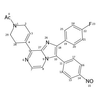 CC(=O)N1CC=C(c2nccn3c(-c4ccc(N=O)cc4)c(-c4ccc(F)cc4)nc23)CC1